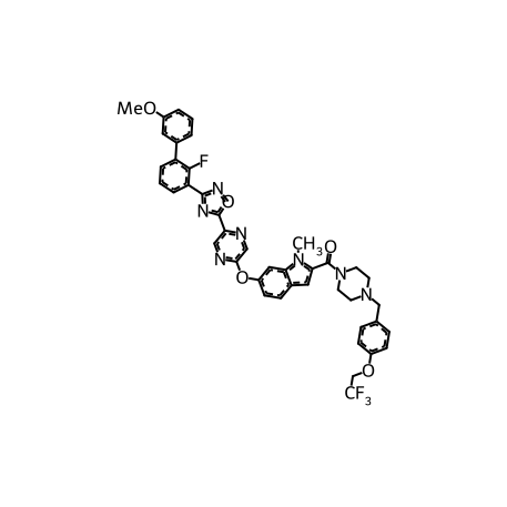 COc1cccc(-c2cccc(-c3noc(-c4cnc(Oc5ccc6cc(C(=O)N7CCN(Cc8ccc(OCC(F)(F)F)cc8)CC7)n(C)c6c5)cn4)n3)c2F)c1